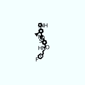 O=C(NCCCN1CCC(F)CC1)c1ccc2c(c1)sc1nc(-c3ccc([C@@H]4CCCN4)cc3C3CC3)cn12